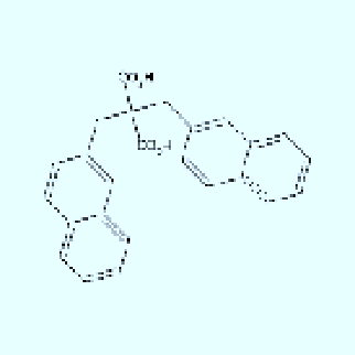 O=C(O)C(Cc1ccc2ccccc2c1)(Cc1ccc2ccccc2c1)C(=O)O